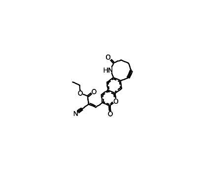 CCOC(=O)C(C#N)=Cc1cc2cc3c(cc2oc1=O)C#CCCC(=O)N3